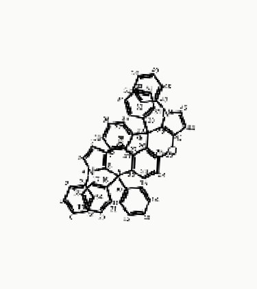 c1ccc(-n2ccc3c2C(c2ccccc2)(c2ccccc2)c2ccc4c(c2O3)C(c2ccccc2)(c2ccccc2)c2c(ccn2-c2ccccc2)O4)cc1